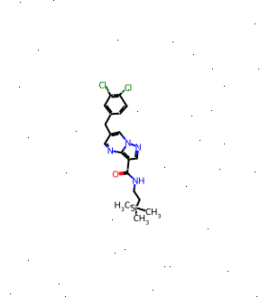 C[Si](C)(C)CCNC(=O)c1cnn2cc(Cc3ccc(Cl)c(Cl)c3)cnc12